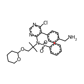 CC(C)(COC1CCCCO1)N(c1ncnc(Cl)c1-c1ccc(CN)cc1)S(=O)(=O)c1ccccc1